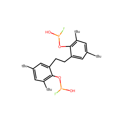 CC(C)(C)c1cc(CCc2cc(C(C)(C)C)cc(C(C)(C)C)c2OP(O)F)c(OP(O)F)c(C(C)(C)C)c1